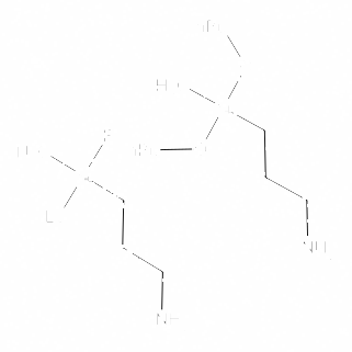 CCCCO[Si](C)(CCCN)OCCCC.CC[Si](C)(CC)CCCN